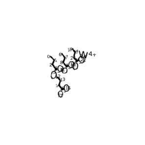 CCCC(=O)[O-].CCCC(=O)[O-].CCCC(=O)[O-].CCCC(=O)[O-].[W+4]